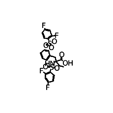 CCC(Cc1ccccc1OS(=O)(=O)c1ccc(F)cc1F)(NS(=O)(=O)c1ccc(F)cc1F)C(=O)O